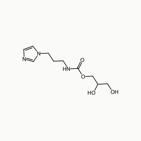 O=C(NCCCn1ccnc1)OCC(O)CO